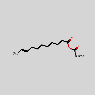 CCCCCCCCC=CCCCCCCCC(=O)OC(=O)CCCCCCC